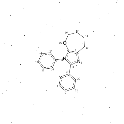 c1ccc(-c2nc3c(n2-c2ccccc2)OCCCC3)cc1